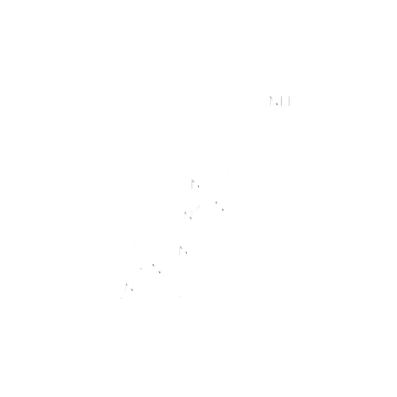 Nc1cccc(-n2c(C3CC3)cc3cnc(Nc4ccc(C5CCNCC5)cc4)nc32)n1